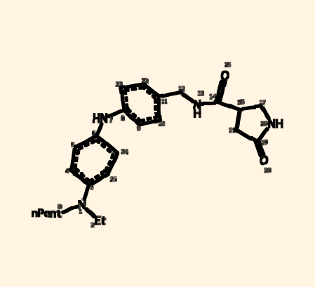 CCCCCN(CC)c1ccc(Nc2ccc(CNC(=O)C3CNC(=O)C3)cc2)cc1